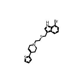 Brc1cccc2c(CSCCN3CC=C(c4cccs4)CC3)c[nH]c12